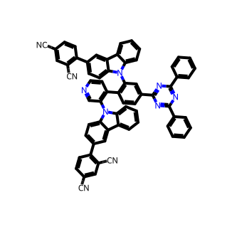 N#Cc1ccc(-c2ccc3c(c2)c2ccccc2n3-c2cnccc2-c2ccc(-c3nc(-c4ccccc4)nc(-c4ccccc4)n3)cc2-n2c3ccccc3c3cc(-c4ccc(C#N)cc4C#N)ccc32)c(C#N)c1